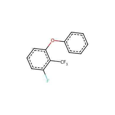 Fc1cc[c]c(Oc2ccccc2)c1C(F)(F)F